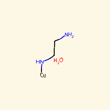 NCC[NH][Cu].O